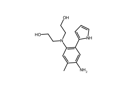 Cc1cc(N(CCO)CCO)c(-c2ccc[nH]2)cc1N